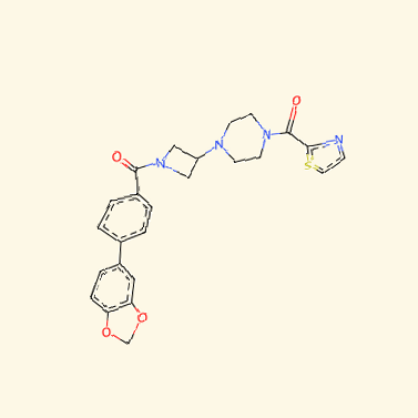 O=C(c1ccc(-c2ccc3c(c2)OCO3)cc1)N1CC(N2CCN(C(=O)c3nccs3)CC2)C1